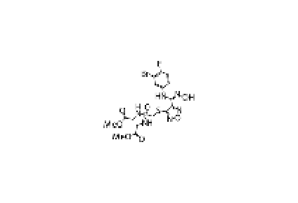 COC(=O)CNP(=O)(CSc1nonc1/C(=N\O)Nc1ccc(F)c(Br)c1)NCC(=O)OC